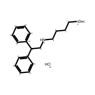 CCCCCCCCCCCCCCNCC(c1ccccc1)c1ccccc1.Cl